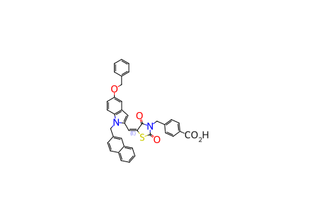 O=C(O)c1ccc(CN2C(=O)S/C(=C/c3cc4cc(OCc5ccccc5)ccc4n3Cc3ccc4ccccc4c3)C2=O)cc1